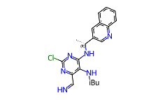 CCC(C)Nc1c(C=N)nc(Cl)nc1N[C@H](C)c1cnc2ccccc2c1